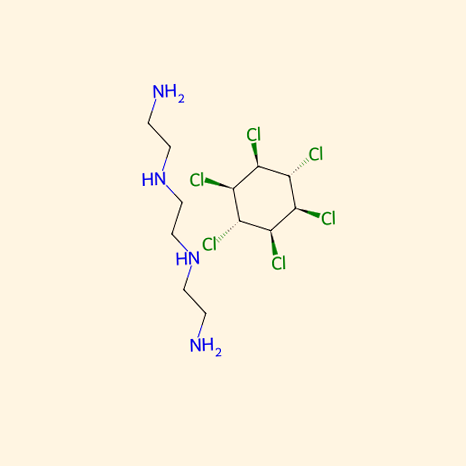 Cl[C@H]1[C@H](Cl)[C@@H](Cl)[C@@H](Cl)[C@H](Cl)[C@H]1Cl.NCCNCCNCCN